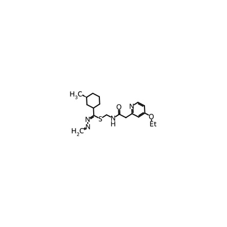 C=N/N=C(\SCNC(=O)Cc1cc(OCC)ccn1)C1CCC[C@H](C)C1